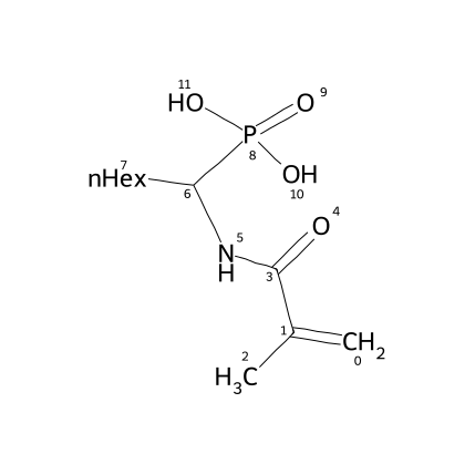 C=C(C)C(=O)NC(CCCCCC)P(=O)(O)O